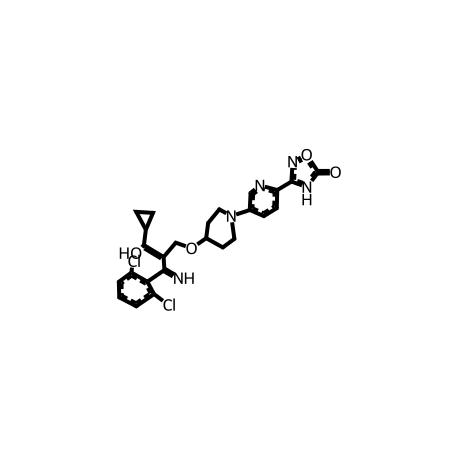 N=C(/C(COC1CCN(c2ccc(-c3noc(=O)[nH]3)nc2)CC1)=C(\O)C1CC1)c1c(Cl)cccc1Cl